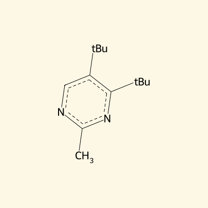 Cc1ncc(C(C)(C)C)c(C(C)(C)C)n1